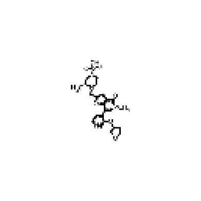 C[C@@H]1CN(S(C)(=O)=O)CCN1Cc1cc2c(=O)n(C)cc(-c3ccncc3OC3CCOC3)c2o1